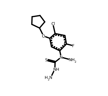 NNC(=S)N(N)c1cc(OC2CCCC2)c(Cl)cc1F